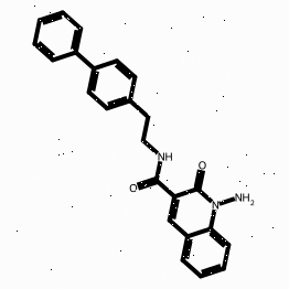 Nn1c(=O)c(C(=O)NCCc2ccc(-c3ccccc3)cc2)cc2ccccc21